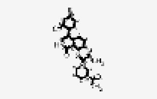 C[C@@H](Oc1ccc2c(-c3ccc(F)cc3Cl)c[nH]c(=O)c2c1)C(=O)N1CCC[C@H](C(N)=O)C1